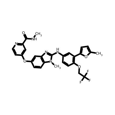 CNC(=O)c1cc(Oc2ccc3c(c2)nc(Nc2ccc(OCC(F)(F)F)c(-c4ccc(C)o4)c2)n3C)ccn1